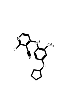 Cc1cc(OC2CCCC2)ccc1Nc1ccnc(Cl)c1C#N